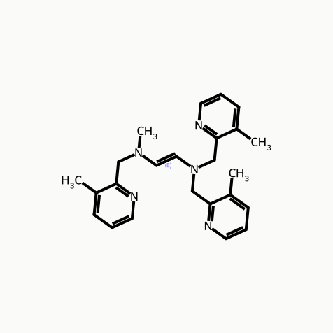 Cc1cccnc1CN(C)/C=C/N(Cc1ncccc1C)Cc1ncccc1C